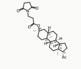 CC(=O)[C@H]1CC[C@H]2[C@@H]3CC[C@H]4C[C@](C)(OC(=O)CCN5C(=O)CCC5=O)CC[C@]4(C)[C@H]3CC[C@]12C